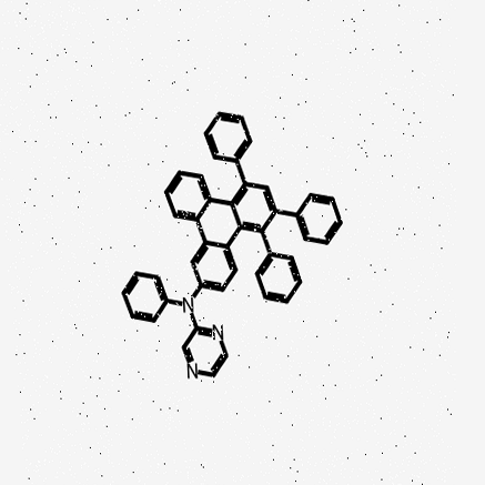 c1ccc(-c2cc(-c3ccccc3)c3c4ccccc4c4cc(N(c5ccccc5)c5cnccn5)ccc4c3c2-c2ccccc2)cc1